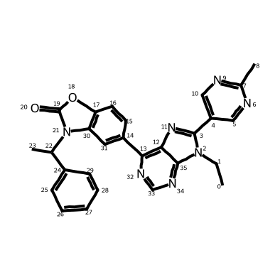 CCn1c(-c2cnc(C)nc2)nc2c(-c3ccc4oc(=O)n(C(C)c5ccccc5)c4c3)ncnc21